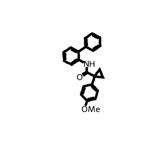 COc1ccc(C2(C(=O)Nc3ccccc3-c3ccccc3)CC2)cc1